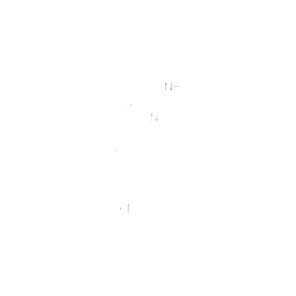 O=CC(Cc1ccc(Cl)cc1Cl)N1CCNCC1=O